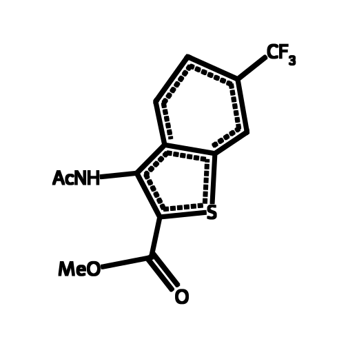 COC(=O)c1sc2cc(C(F)(F)F)ccc2c1NC(C)=O